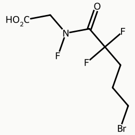 O=C(O)CN(F)C(=O)C(F)(F)CCCBr